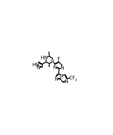 CC1CN(c2nc(-c3cnc4cnc(C(F)(F)F)cn34)ncc2F)C(C)C(c2cn[nH]c2)N1